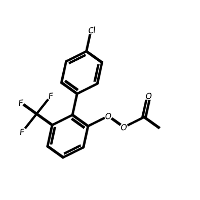 CC(=O)OOc1cccc(C(F)(F)F)c1-c1ccc(Cl)cc1